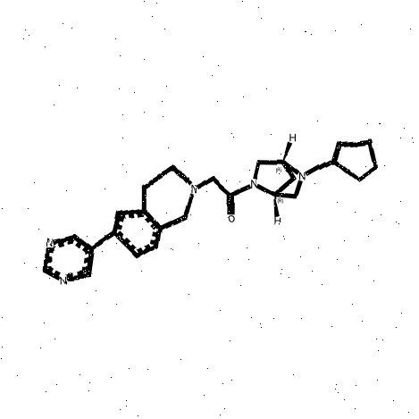 O=C(CN1CCc2cc(-c3cncnc3)ccc2C1)N1C[C@H]2C[C@@H]1CN2C1CCCC1